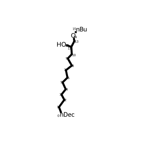 CCCCCCCCCCCCCCCCCCCCC(O)COCCCC